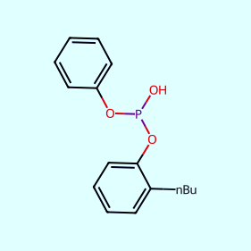 CCCCc1ccccc1OP(O)Oc1ccccc1